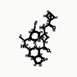 C[C@H](Nc1nc(C(=O)N2CC(NC(=O)C34CC(C3)C4)C2)c2sccc2n1)c1cncc(F)c1